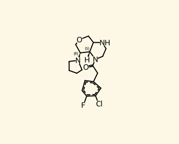 O=C(Cc1ccc(F)c(Cl)c1)N1CCNC2COC[C@H](N3CCCC3)[C@H]21